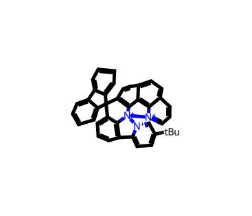 CC(C)(C)c1ccc2[n+](c1)[N+]13c4c-2cccc4C2(c4ccccc4-c4ccccc42)c2ccc4ccc5ccc[n+]1c5c4c23